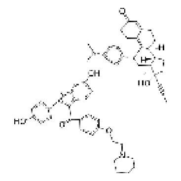 CC#C[C@]1(O)CC[C@H]2[C@@H]3CCC4=CC(=O)CCC4=C3[C@@H](c3ccc(N(C)C)cc3)C[C@@]21C.O=C(c1ccc(OCCN2CCCCC2)cc1)c1c(-c2ccc(O)cc2)sc2cc(O)ccc12